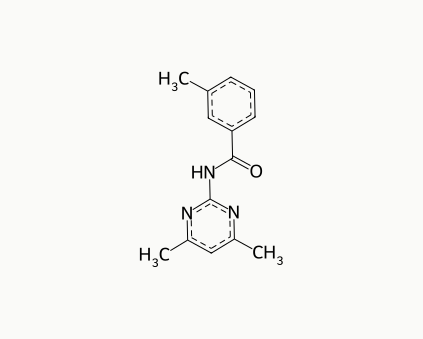 Cc1cccc(C(=O)Nc2nc(C)cc(C)n2)c1